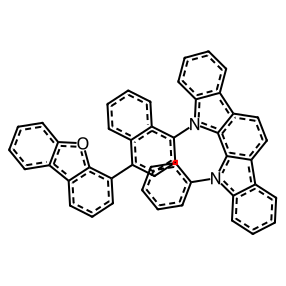 c1ccc(-n2c3ccccc3c3ccc4c5ccccc5n(-c5ccc(-c6cccc7c6oc6ccccc67)c6ccccc56)c4c32)cc1